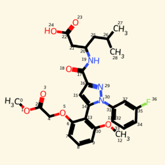 COC(=O)COc1cccc(OC)c1-c1cc(C(=O)NC(CC(=O)O)CC(C)C)nn1-c1cccc(F)c1